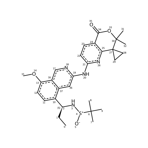 CC[C@H](N[S+]([O-])C(C)(C)C)c1ccc(OC)c2cnc(Nc3ccc4c(n3)C3(CC3)C(C)(C)OC4=O)cc12